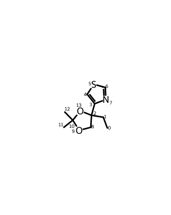 CCC1(c2cs[c]n2)COC(C)(C)O1